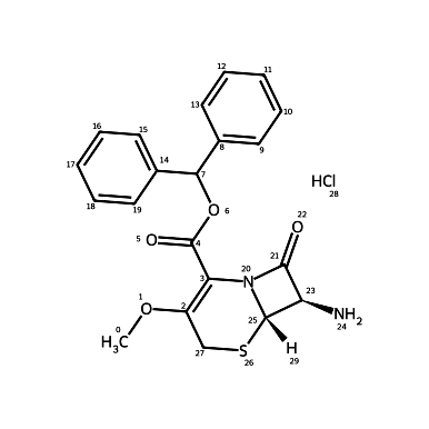 COC1=C(C(=O)OC(c2ccccc2)c2ccccc2)N2C(=O)[C@@H](N)[C@@H]2SC1.Cl